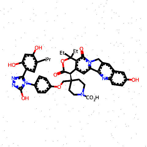 CCC1(CC)OC(=O)[C@H](C2(COc3ccc(-n4c(O)nnc4-c4cc(C(C)C)c(O)cc4O)cc3)CCN(C(=O)O)CC2)c2cc3n(c(=O)c21)Cc1cc2cc(O)ccc2nc1-3